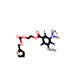 CC(=O)Nc1c(I)c(C(=O)OCCOC(=O)OCc2cccs2)c(I)c(N(C)C(C)=O)c1I